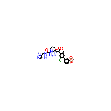 Cc1cc(-c2cccc(S(C)(=O)=O)c2)c(Cl)cc1C1=C(N)C2(CCCN(CC(=O)NCc3ccnn3C)C2)OC1=O